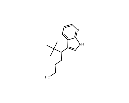 CC(C)(C)C(CCCO)c1c[nH]c2ncccc12